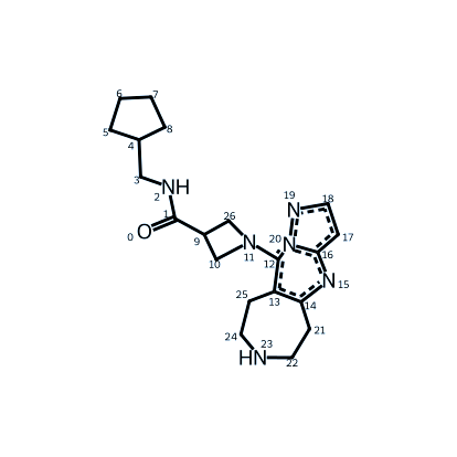 O=C(NCC1CCCC1)C1CN(c2c3c(nc4ccnn24)CCNCC3)C1